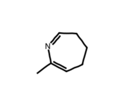 CC1=CCCCC=N1